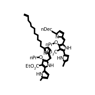 C=CCCCCCCCCCC1=NC(=Cc2[nH]c(-c3ccc(C)[nH]3)c(C(=O)OCC)c2OCCC)C=C1.CCCCCCCCCCCC1=NC(=Cc2[nH]c(-c3ccc(C)[nH]3)c(C(=O)O)c2OCCC)C=C1